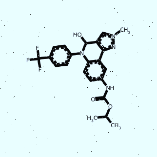 CC(C)OC(=O)Nc1ccc2c(c1)-c1nn(C)cc1C(O)N2c1ccc(C(F)(F)F)cc1